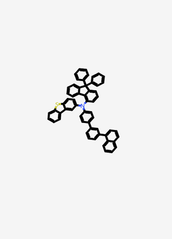 c1ccc(C2(c3ccccc3)c3ccccc3-c3c(N(c4ccc(-c5cccc(-c6cccc7ccccc67)c5)cc4)c4ccc5sc6ccccc6c5c4)cccc32)cc1